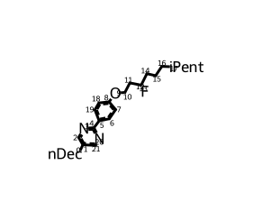 CCCCCCCCCCc1cnc(-c2ccc(OCCC(F)CCCC(C)CCC)cc2)nc1